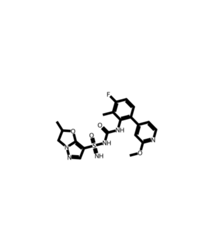 COc1cc(-c2ccc(F)c(C)c2NC(=O)NS(=N)(=O)c2cnn3c2OC(C)C3)ccn1